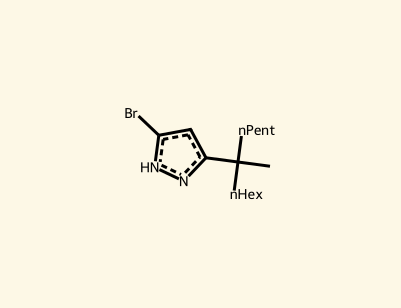 CCCCCCC(C)(CCCCC)c1cc(Br)[nH]n1